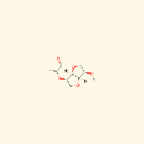 CO[C@@H]1CO[C@H]2[C@@H]1OC[C@H]2OC(C)C=O